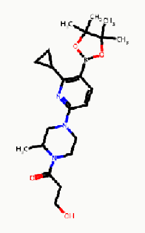 CC1CN(c2ccc(B3OC(C)(C)C(C)(C)O3)c(C3CC3)n2)CCN1C(=O)CCO